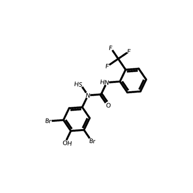 O=C(Nc1ccccc1C(F)(F)F)N(S)c1cc(Br)c(O)c(Br)c1